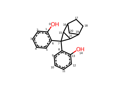 Oc1ccccc1C1(c2ccccc2O)C2C3CCC(C3)C21